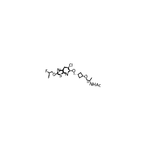 CC(=O)N[C@@H](C)CO[C@H]1C[C@H](COc2nc3sc(OCC(F)F)nc3cc2Cl)C1